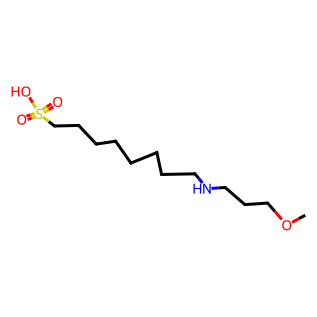 COCCCNCCCCCCCCS(=O)(=O)O